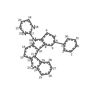 c1ccc(-c2ccc3c(c2)c2c4c(ccc2n3-c2ncccn2)sc2ccccc24)cc1